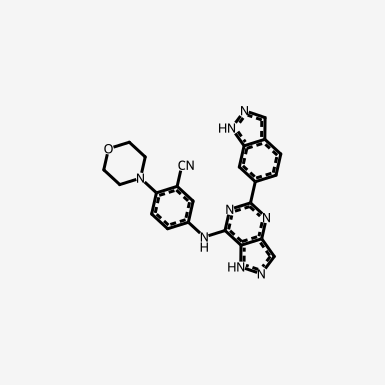 N#Cc1cc(Nc2nc(-c3ccc4cn[nH]c4c3)nc3cn[nH]c23)ccc1N1CCOCC1